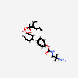 C=CCC(CC)[C@@]1(C)OO[C@@]2(CCC[C@@H](c3ccc(OC(=O)NCC(C)(C)N)cc3)C2)O1